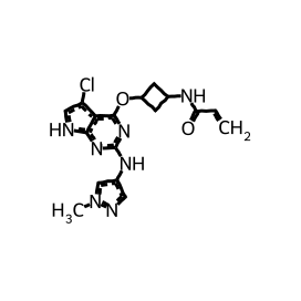 C=CC(=O)NC1CC(Oc2nc(Nc3cnn(C)c3)nc3[nH]cc(Cl)c23)C1